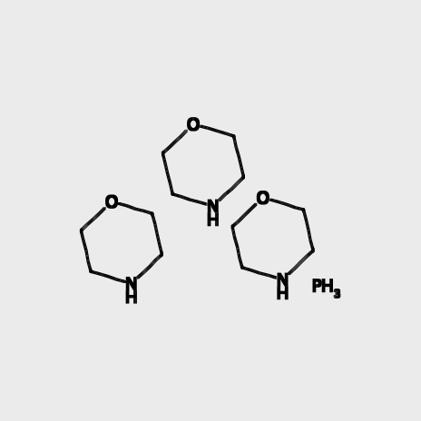 C1COCCN1.C1COCCN1.C1COCCN1.P